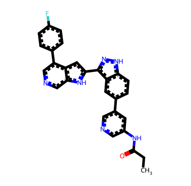 CCC(=O)Nc1cncc(-c2ccc3[nH]nc(-c4cc5c(-c6ccc(F)cc6)cncc5[nH]4)c3c2)c1